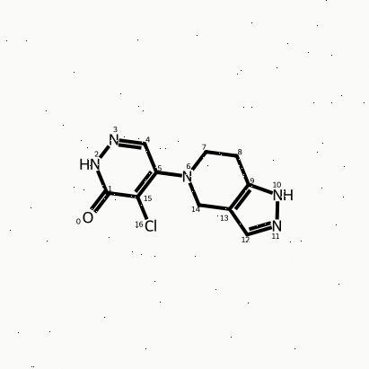 O=c1[nH]ncc(N2CCc3[nH]ncc3C2)c1Cl